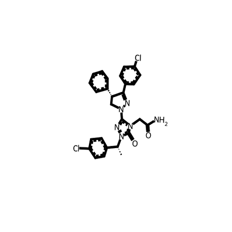 C[C@H](c1ccc(Cl)cc1)n1nc(N2C[C@H](c3ccccc3)C(c3ccc(Cl)cc3)=N2)n(CC(N)=O)c1=O